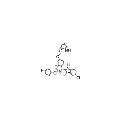 N=c1sccn1CCOc1ccc(C2c3[nH]c4c(c3CCN2C(=O)Oc2ccc(F)cc2)=CC(Cl)CC=4)cc1